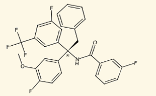 COc1cc([C@@](Cc2ccccc2)(NC(=O)c2cccc(F)c2)c2cc(F)cc(C(F)(F)F)c2)ccc1F